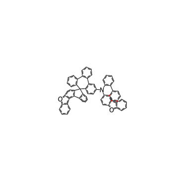 c1ccc(-c2ccccc2N(c2ccc3c(c2)-c2ccccc2-c2ccccc2C32c3ccccc3-c3c2ccc2oc4ccccc4c32)c2ccc3oc4ccccc4c3c2)cc1